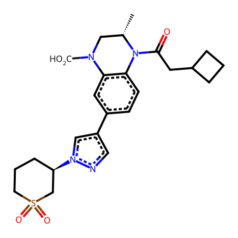 C[C@H]1CN(C(=O)O)c2cc(-c3cnn([C@@H]4CCCS(=O)(=O)C4)c3)ccc2N1C(=O)CC1CCC1